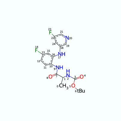 CC(NC(=O)OC(C)(C)C)C(=O)Nc1ccc(F)cc1Nc1cncc(F)c1